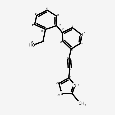 Cc1nc(C#Cc2cncc(-c3ccccc3CO)c2)cs1